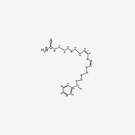 CC(CCCCC/C=C\C/C=C\CCCCCCCC(N)=O)c1ccccc1